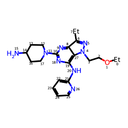 CCOCCn1nc(CC)c2nc(N3CCC(N)CC3)nc(Nc3ccccn3)c21